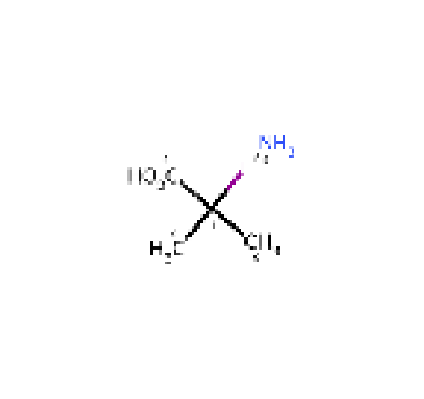 CC(C)(I)C(=O)O.N